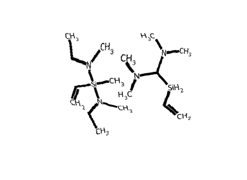 C=C[SiH2]C(N(C)C)N(C)C.C=C[Si](C)(N(C)CC)N(C)CC